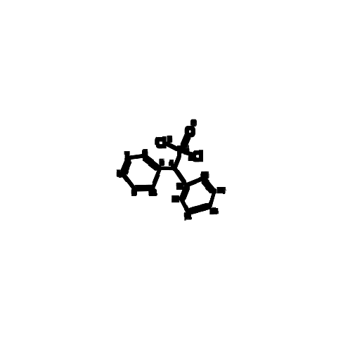 O=P(Cl)(Cl)C(c1ccccc1)c1ccccc1